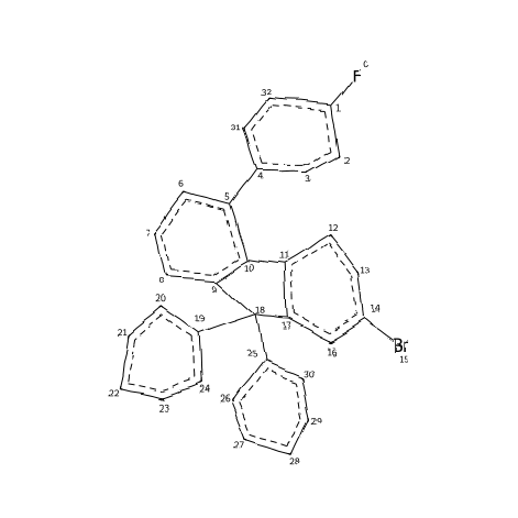 Fc1ccc(-c2cccc3c2-c2ccc(Br)cc2C3(c2ccccc2)c2ccccc2)cc1